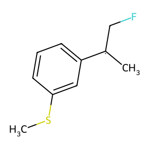 CSc1cccc([C](C)CF)c1